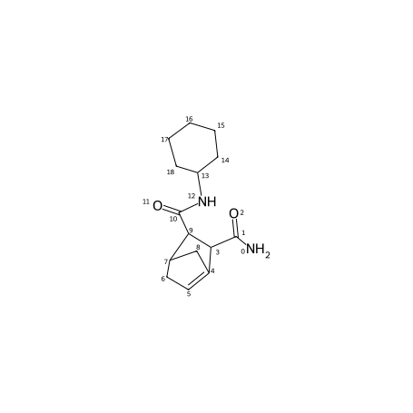 NC(=O)C1C2=CCC(C2)C1C(=O)NC1CCCCC1